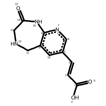 O=C(O)C=Cc1cnc2c(c1)CNCC(=O)N2